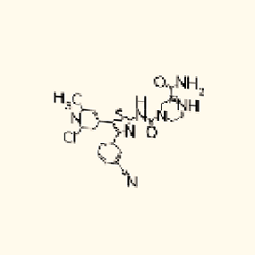 Cc1cc(-c2sc(NC(=O)N3CCN[C@H](C(N)=O)C3)nc2-c2cccc(C#N)c2)cc(Cl)n1